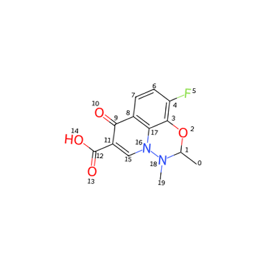 CC1Oc2c(F)ccc3c(=O)c(C(=O)O)cn(c23)N1C